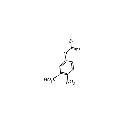 CCC(=O)Oc1ccc([N+](=O)[O-])c(C(=O)O)c1